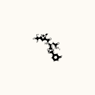 Cn1nc(C(F)(F)F)cc1C(=O)N[C@@H](CC(N)=O)c1nc(-c2cccc(F)c2)no1